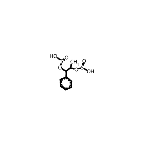 CC(OS(=O)O)C(OS(=O)O)c1ccccc1